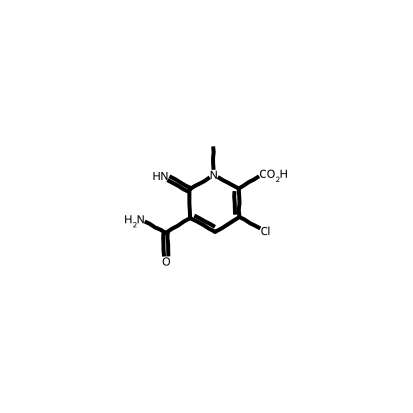 Cn1c(C(=O)O)c(Cl)cc(C(N)=O)c1=N